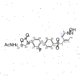 C/C=C(\C=C/NO)CS(=O)(=O)c1ccc(-c2ccc(N3C[C@H](CNC(C)=O)OC3=O)cc2F)cc1